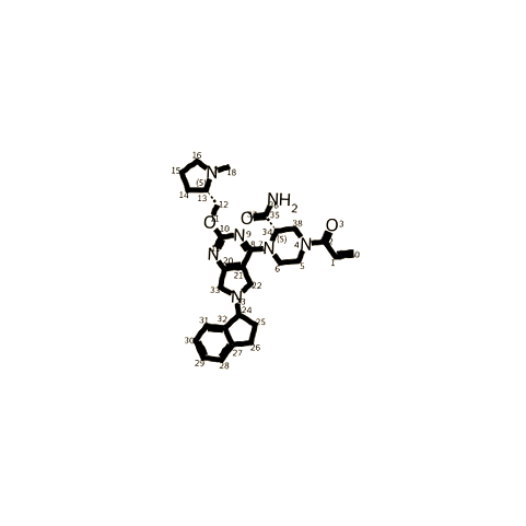 C=CC(=O)N1CCN(c2nc(OC[C@@H]3CCCN3C)nc3c2CN(C2CCc4ccccc42)C3)[C@H](C(N)=O)C1